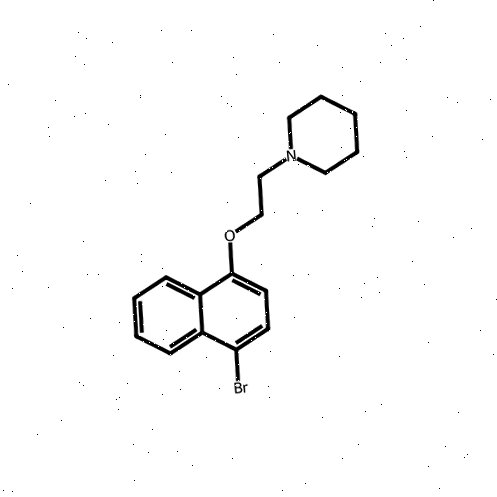 Brc1ccc(OCCN2CCCCC2)c2ccccc12